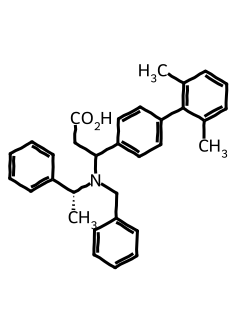 Cc1cccc(C)c1-c1ccc(C(CC(=O)O)N(Cc2ccccc2)[C@H](C)c2ccccc2)cc1